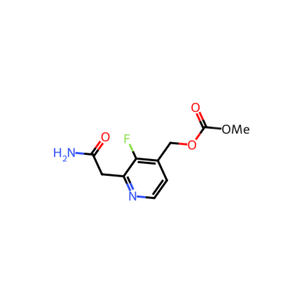 COC(=O)OCc1ccnc(CC(N)=O)c1F